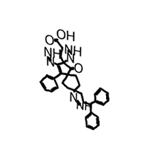 N=NC1=C(c2ccccc2)C2(CCC(CCC(c3ccccc3)c3ccccc3)(N=N)CC2)C(=O)C1(CCC(=O)O)N=N